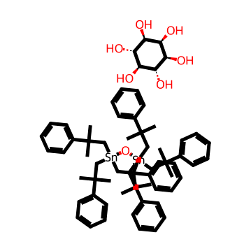 CC(C)([CH2][Sn]([CH2]C(C)(C)c1ccccc1)([CH2]C(C)(C)c1ccccc1)[O][Sn]([CH2]C(C)(C)c1ccccc1)([CH2]C(C)(C)c1ccccc1)[CH2]C(C)(C)c1ccccc1)c1ccccc1.O[C@H]1[C@H](O)[C@@H](O)[C@H](O)[C@@H](O)[C@H]1O